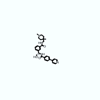 CN1CCC(C)(CNC(=O)c2cccc([C@@H](CO)NC(=O)c3ccc(-c4ccncc4)cc3)c2)CC1